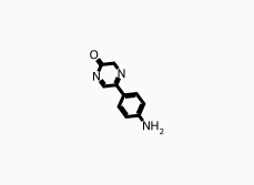 Nc1ccc(C2=NCC(=O)N=C2)cc1